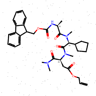 C=CCOC(=O)C[C@@H](C(=O)N(C)C)N(C)C(=O)[C@H](C1CCCC1)N(C)C(=O)[C@H](C)NC(=O)OCC1c2ccccc2-c2ccccc21